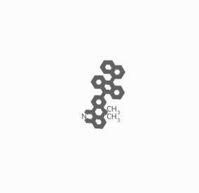 CC1(C)c2cc(-c3c4ccccc4c(-c4cccc5ccccc45)c4ccccc34)ccc2-c2cncc3cccc1c23